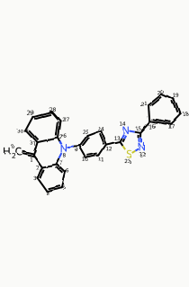 C=C1c2ccccc2N(c2ccc(-c3nc(-c4ccccc4)ns3)cc2)c2ccccc21